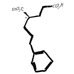 CCOC(=O)[C@H](CCCc1ccccc1)CCC(=O)O